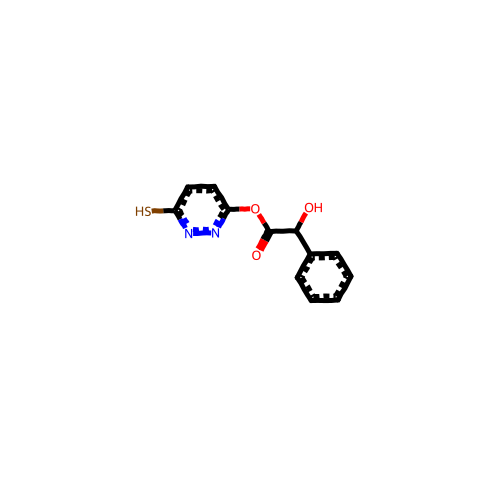 O=C(Oc1ccc(S)nn1)C(O)c1ccccc1